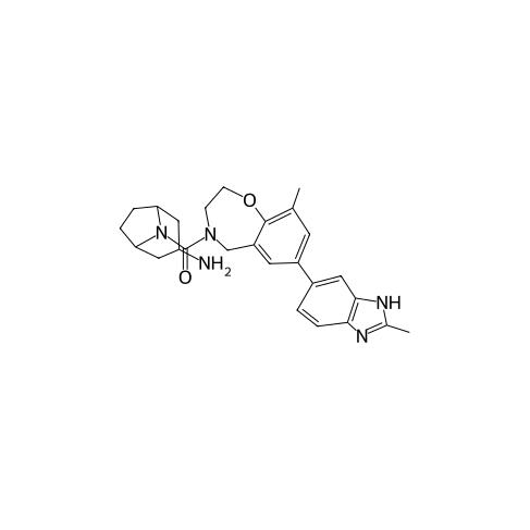 Cc1nc2ccc(-c3cc(C)c4c(c3)CN(C(=O)N3C5CCC3CC(N)C5)CCO4)cc2[nH]1